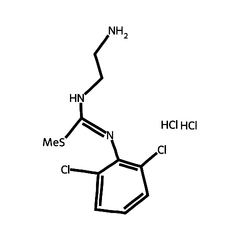 CS/C(=N\c1c(Cl)cccc1Cl)NCCN.Cl.Cl